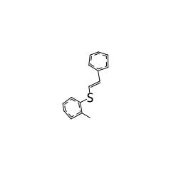 Cc1ccccc1SC=Cc1ccccc1